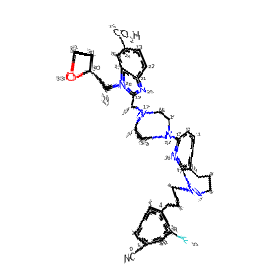 N#Cc1ccc(CCN2CCc3ccc(N4CCN(Cc5nc6ccc(C(=O)O)cc6n5C[C@@H]5CCO5)CC4)nc32)c(F)c1